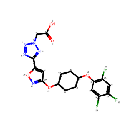 O=C(O)Cn1nnc(-c2cc(OC3CCC(Oc4cc(F)c(F)cc4Br)CC3)no2)n1